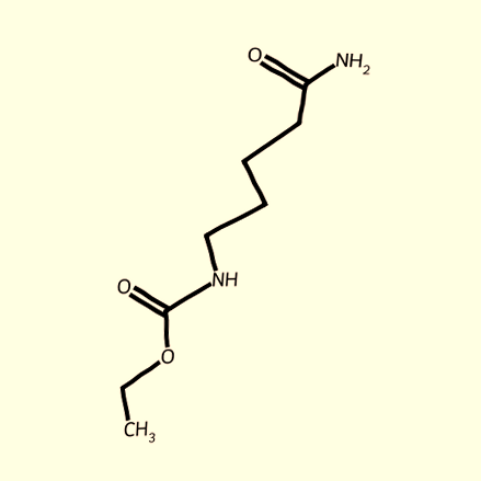 CCOC(=O)NCCCCC(N)=O